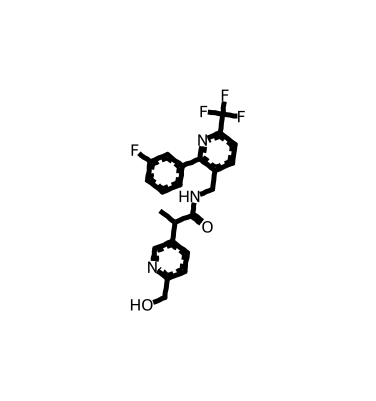 CC(C(=O)NCc1ccc(C(F)(F)F)nc1-c1cccc(F)c1)c1ccc(CO)nc1